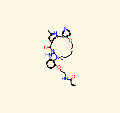 C=CC(=O)NCCOc1cccc2c1N1CCCCCOc3ccncc3-c3cc(cc(C)n3)C(=O)/N=C/1N2